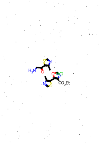 CCOC(=O)c1ncoc1-c1scnc1C.Cc1ncsc1C(=O)CN.Cl